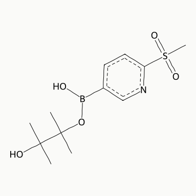 CC(C)(O)C(C)(C)OB(O)c1ccc(S(C)(=O)=O)nc1